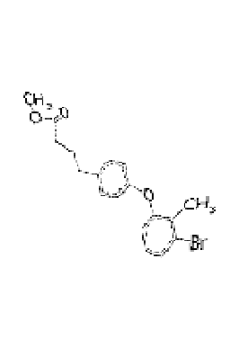 COC(=O)CCCc1ccc(Oc2cccc(Br)c2C)cc1